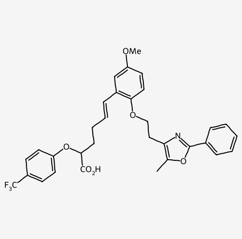 COc1ccc(OCCc2nc(-c3ccccc3)oc2C)c(/C=C/CCC(Oc2ccc(C(F)(F)F)cc2)C(=O)O)c1